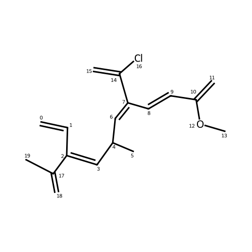 C=C/C(=C\C(C)/C=C(\C=C\C(=C)OC)C(=C)Cl)C(=C)C